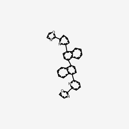 c1cc(-c2ncco2)nc(-c2ccc(-c3ccc(-c4cccc(-c5ncco5)n4)c4ccccc34)c3ccccc23)c1